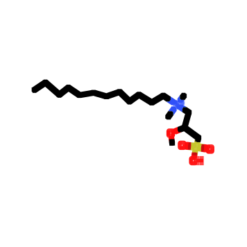 CCCCCCCCCCCC[N+](C)(C)CC(CS(=O)(=O)O)OC